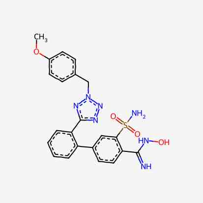 COc1ccc(Cn2nnc(-c3ccccc3-c3ccc(C(=N)NO)c(S(N)(=O)=O)c3)n2)cc1